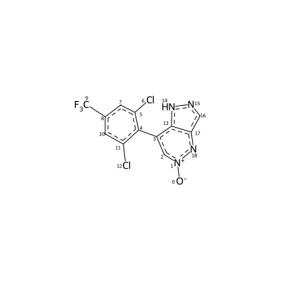 [O-][n+]1cc(-c2c(Cl)cc(C(F)(F)F)cc2Cl)c2[nH]ncc2n1